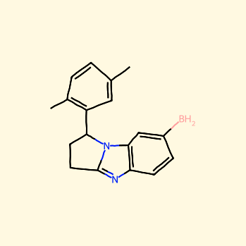 Bc1ccc2nc3n(c2c1)C(c1cc(C)ccc1C)CC3